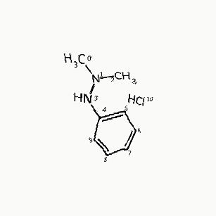 CN(C)Nc1ccccc1.Cl